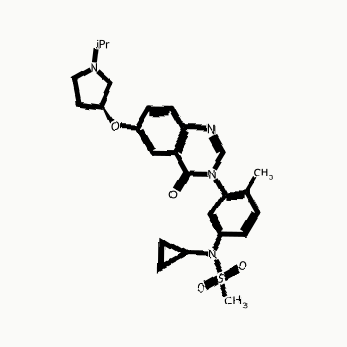 Cc1ccc(N(C2CC2)S(C)(=O)=O)cc1-n1cnc2ccc(O[C@H]3CCN(C(C)C)C3)cc2c1=O